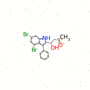 C[S+]([O-])CC(O)c1[nH]c2cc(Br)cc(Br)c2c1-c1ccccc1